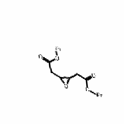 CC(C)OC(=O)CC1OC1CC(=O)OC(C)C